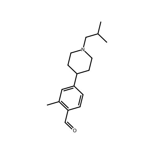 Cc1cc(C2CCN(CC(C)C)CC2)ccc1C=O